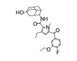 CCOc1cc(C(=O)c2cc(CC)c(C(=O)NC3C4CC5CC3CC(O)(C5)C4)n2C)ccc1F